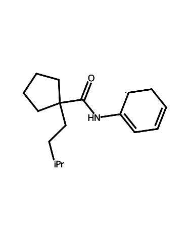 CC(C)CCC1(C(=O)NC2=CC=CC[CH]2)CCCC1